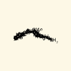 COc1cc2c(cc1OCc1cccc(COc3cc4c(cc3C)C(=O)N3Cc5ccccc5C[C@H]3C=N4)n1)N=C[C@@H]1Cc3ccc(NC(=O)CCOCCN)cc3CN1C2=O